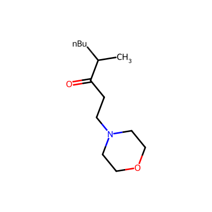 CCCCC(C)C(=O)CCN1CCOCC1